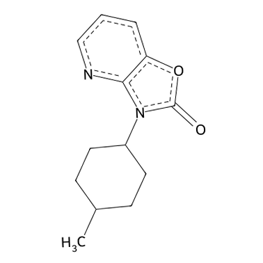 CC1CCC(n2c(=O)oc3cccnc32)CC1